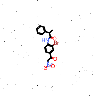 CC(C(=O)Nc1ccc(C(=O)C[N+](=O)[O-])cc1Br)c1ccccc1